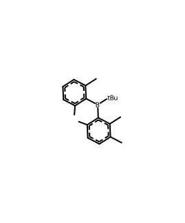 Cc1ccc(C)c(B(c2c(C)cccc2C)C(C)(C)C)c1C